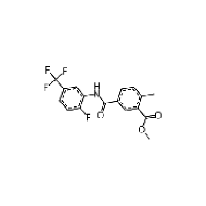 COC(=O)c1cc(C(=O)Nc2cc(C(F)(F)F)ccc2F)ccc1C